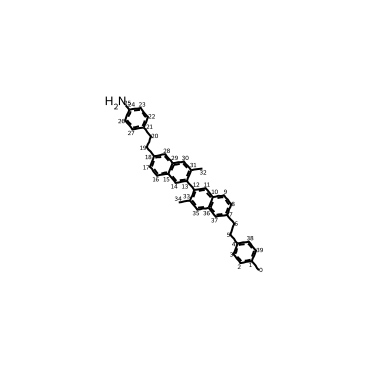 Cc1ccc(CCc2ccc3cc(-c4cc5ccc(CCc6ccc(N)cc6)cc5cc4C)c(C)cc3c2)cc1